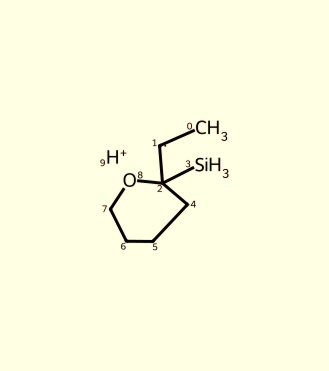 C[CH]C1([SiH3])CCCCO1.[H+]